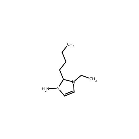 CCCCC1N(N)C=CN1CC